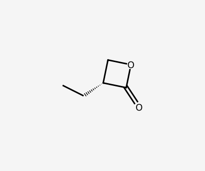 CC[C@@H]1COC1=O